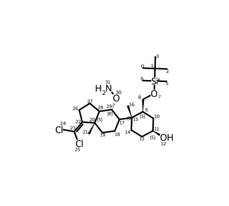 CC(C)(C)[Si](C)(C)OC[C@H]1C[C@@H](O)CC[C@]1(C)C1CC[C@]2(C)C(=C(Cl)Cl)CCC2[C@@H]1ON